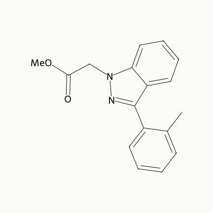 COC(=O)Cn1nc(-c2ccccc2C)c2ccccc21